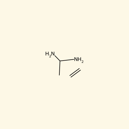 C=C.CC(N)N